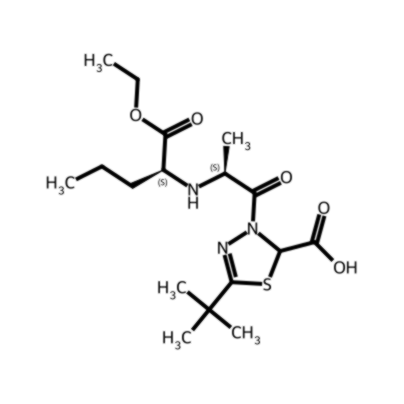 CCC[C@H](N[C@@H](C)C(=O)N1N=C(C(C)(C)C)SC1C(=O)O)C(=O)OCC